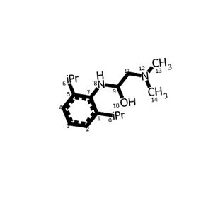 CC(C)c1cccc(C(C)C)c1NC(O)CN(C)C